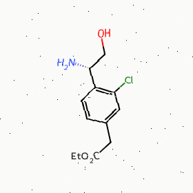 CCOC(=O)Cc1ccc([C@H](N)CO)c(Cl)c1